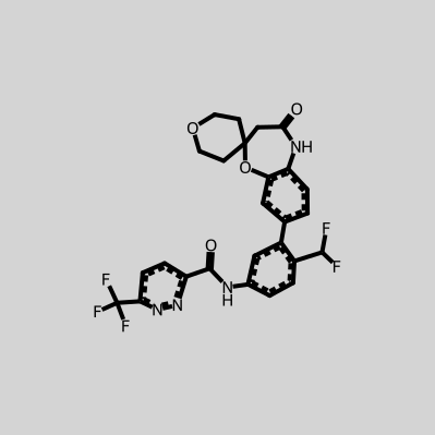 O=C1CC2(CCOCC2)Oc2cc(-c3cc(NC(=O)c4ccc(C(F)(F)F)nn4)ccc3C(F)F)ccc2N1